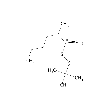 CCCCC(C)[C@@H](C)SSC(C)(C)C